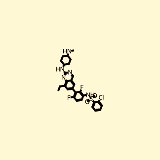 CCc1cc(-c2c(F)ccc(NS(=O)(=O)c3ccccc3Cl)c2F)cc2cnc(NC3CCC(NC)CC3)nc12